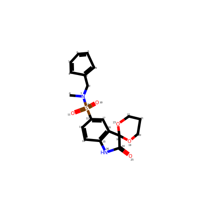 CN(Cc1ccccc1)S(=O)(=O)c1ccc2c(c1)C1(OCCCO1)C(=O)N2